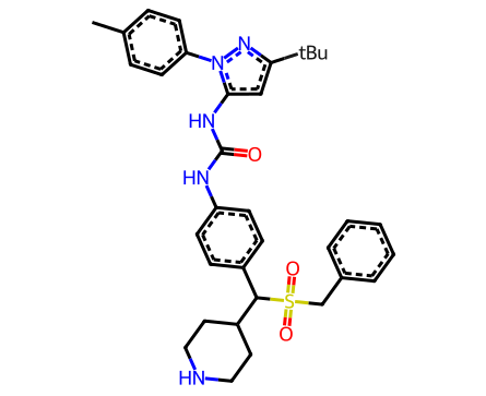 Cc1ccc(-n2nc(C(C)(C)C)cc2NC(=O)Nc2ccc(C(C3CCNCC3)S(=O)(=O)Cc3ccccc3)cc2)cc1